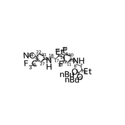 CCCCOC(OCCCC)C(CC)CCNc1cc(F)c(C(CC)CCNc2ccc(C#N)c(C(F)(F)F)c2)c(F)c1